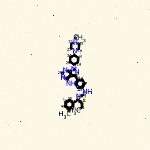 CCc1sc(Nc2ccc(-c3nn([C@H]4CC[C@@H](N5CCN(C)CC5)CC4)c4ncnc(N)c34)cc2)nc1-c1cccc(C)c1